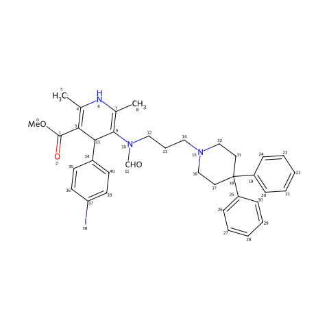 COC(=O)C1=C(C)NC(C)=C(N(C=O)CCCN2CCC(c3ccccc3)(c3ccccc3)CC2)C1c1ccc(I)cc1